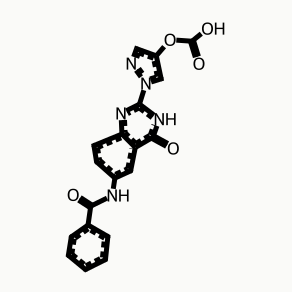 O=C(O)Oc1cnn(-c2nc3ccc(NC(=O)c4ccccc4)cc3c(=O)[nH]2)c1